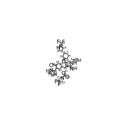 CC(C)(C)C[C@]1(c2ccc(-c3cnn(C(F)F)c3)cc2)NC(=N)N([C@H](COC(=O)N2CC(F)(F)C2)c2ccc(Cl)c(-c3ncn[nH]3)c2)C1=O